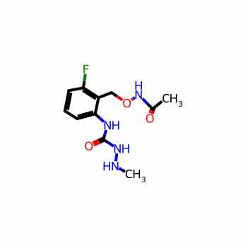 CNNC(=O)Nc1cccc(F)c1CONC(C)=O